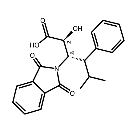 CC(C)C(c1ccccc1)[C@@H]([C@H](O)C(=O)O)N1C(=O)c2ccccc2C1=O